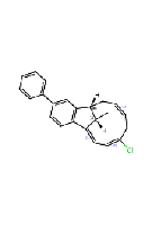 C[C@@H]1/C2=C\C=C(\Cl)C/C=C\C[C@H]1c1cc(-c3ccccc3)ccc12